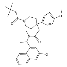 COc1ccc(C2(CC(=O)N(C)C(C)c3cc(Cl)cc4ccccc34)CCN(C(=O)OC(C)(C)C)CC2)cc1